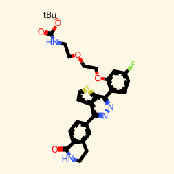 CC(C)(C)OC(=O)NCCOCCOc1cc(F)ccc1-c1nnc(-c2ccc3c(c2)CCNC3=O)c2ccsc12